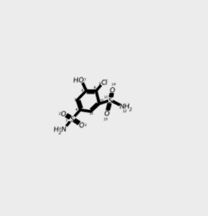 NS(=O)(=O)c1cc(O)c(Cl)c(S(N)(=O)=O)c1